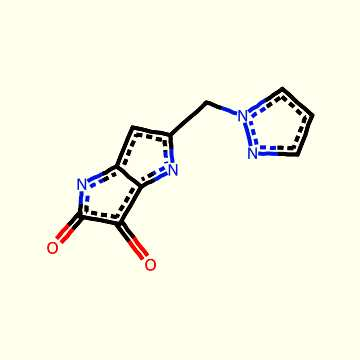 O=c1nc2cc(Cn3cccn3)nc-2c1=O